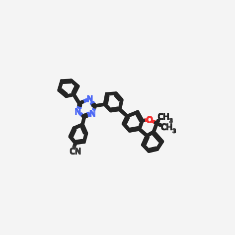 CC1(C)Oc2cc(-c3cccc(-c4nc(-c5ccccc5)nc(-c5ccc(C#N)cc5)n4)c3)ccc2-c2ccccc21